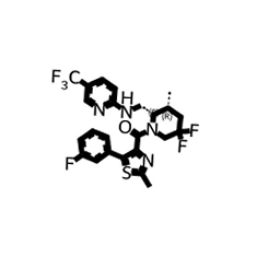 Cc1nc(C(=O)N2CC(F)(F)C[C@@H](C)[C@H]2CNc2ccc(C(F)(F)F)cn2)c(-c2cccc(F)c2)s1